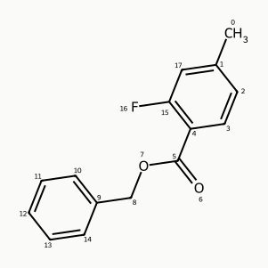 Cc1ccc(C(=O)OCc2ccccc2)c(F)c1